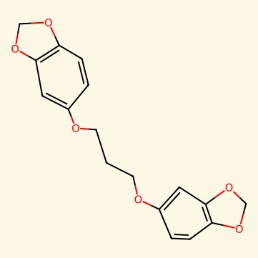 c1cc2c(cc1OCCCOc1ccc3c(c1)OCO3)OCO2